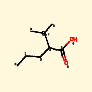 CCC[CH](C(=O)O)[Bi]([CH3])[CH3]